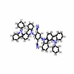 N#Cc1cc(-n2c3ccccc3c3c2ccc2c4ccccc4n(-c4ccccc4)c23)c(C#N)cc1-n1c2ccccc2c2c1ccc1c3ccccc3n(-c3ccccc3)c12